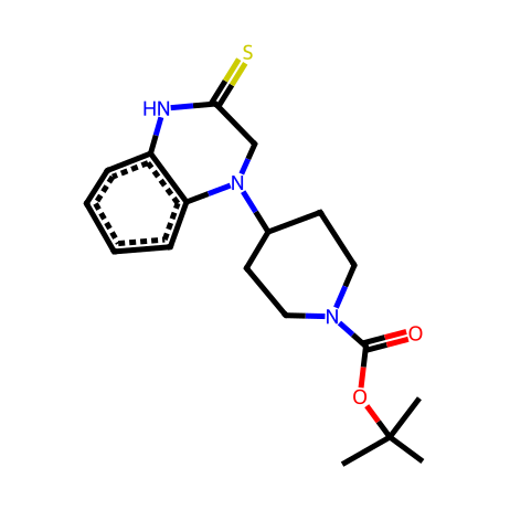 CC(C)(C)OC(=O)N1CCC(N2CC(=S)Nc3ccccc32)CC1